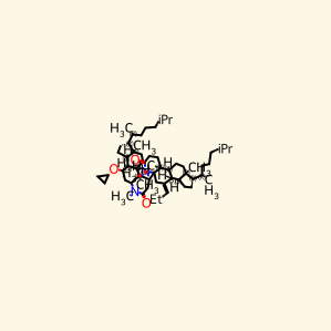 CCC=C1CC2(C3CC(=O)N(C)C4CC(OC5CC5)[C@@H]5[C@H](CC[C@]6(C)[C@@H]([C@H](C)CCCC(C)C)CC[C@@H]56)[C@]43C)N(C)C(=O)CC[C@]2(C)[C@H]2CC[C@]3(C)[C@@H]([C@H](C)CCCC(C)C)CC[C@H]3[C@H]12